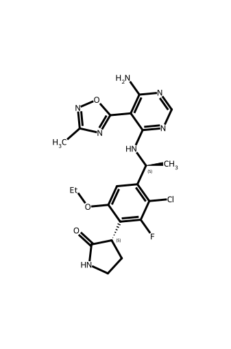 CCOc1cc([C@H](C)Nc2ncnc(N)c2-c2nc(C)no2)c(Cl)c(F)c1[C@@H]1CCNC1=O